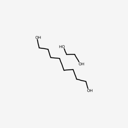 OCCCCCCCCO.OCCO